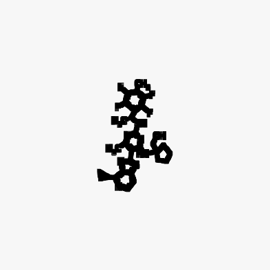 Cc1nc(N[C@H](C)c2c(F)c(F)c(C)c(F)c2F)nc(NC2(CO)CCCC2)c1-c1nc2c(C3CC3)nccc2s1